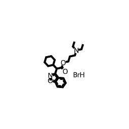 Br.CCN(CC)CCCOC(=O)C(c1noc2ccccc12)C1CCCCC1